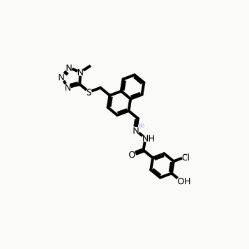 Cn1nnnc1SCc1ccc(/C=N/NC(=O)c2ccc(O)c(Cl)c2)c2ccccc12